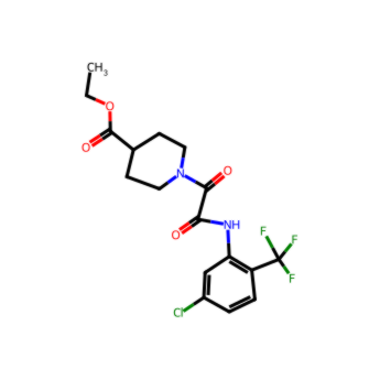 CCOC(=O)C1CCN(C(=O)C(=O)Nc2cc(Cl)ccc2C(F)(F)F)CC1